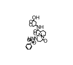 O=CC(CC(=O)O)NC(=O)C1CCCN2C(=O)CCN(NS(=O)(=O)c3ccccc3)C(=O)N12